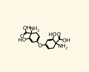 NC1(C(=O)O)CC=C(OC2=CCC(N)(C(=O)O)C(O)=C2)C=C1O